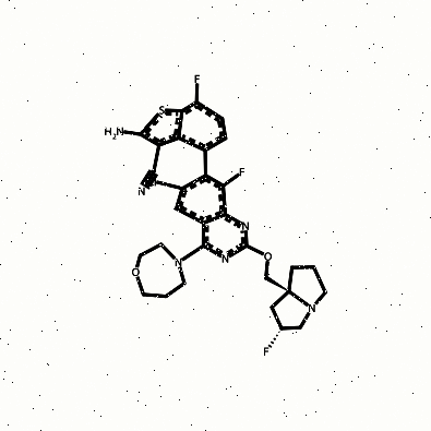 N#Cc1c(N)sc2c(F)ccc(-c3c(Cl)cc4c(N5CCCOCC5)nc(OC[C@@]56CCCN5C[C@H](F)C6)nc4c3F)c12